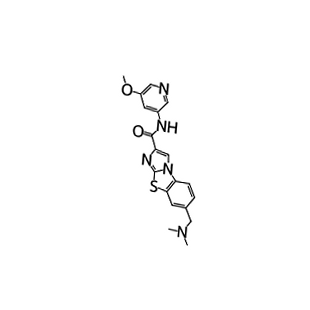 COc1cncc(NC(=O)c2cn3c(n2)sc2cc(CN(C)C)ccc23)c1